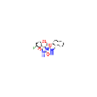 C[C@H](NC(=O)N1C(=O)NC(=O)[C@@]12C=COc1ccc(F)cc12)c1cccc2ccccc12